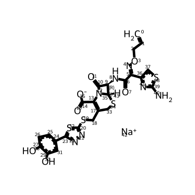 C=CCON=C(C(=O)N[C@@H]1C(=O)N2C(C(=O)[O-])=C(CSc3nnc(-c4ccc(O)c(O)c4)s3)CS[C@@H]12)c1csc(N)n1.[Na+]